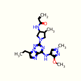 C=CC(=O)NC1CN(c2nc(Nc3cn(C)nc3OC)c3ncc(CC)n3n2)CC1C